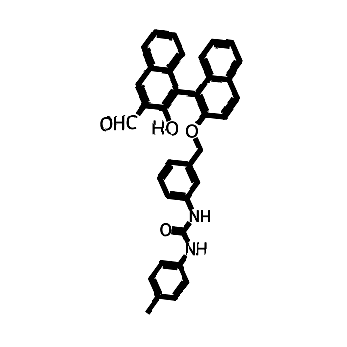 Cc1ccc(NC(=O)Nc2cccc(COc3ccc4ccccc4c3-c3c(O)c(C=O)cc4ccccc34)c2)cc1